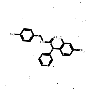 Cc1ccc(C(C(=O)NCc2ccc(O)cc2)c2ccccc2)c(C)c1